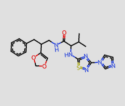 CC(C)C(Nc1nc(-n2ccnc2)ns1)C(=O)NCC(Cc1ccccc1)C1=COCO1